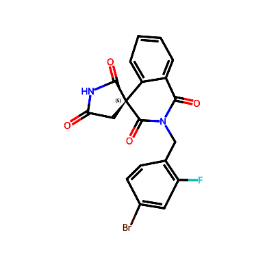 O=C1C[C@]2(C(=O)N1)C(=O)N(Cc1ccc(Br)cc1F)C(=O)c1ccccc12